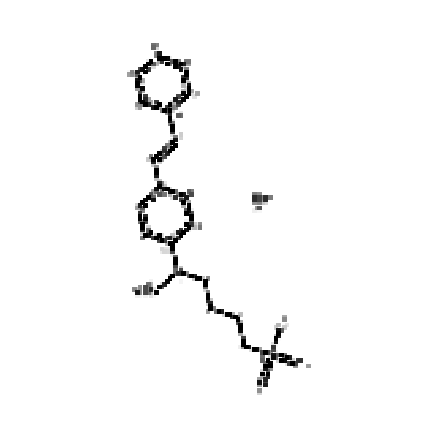 CCCCCCN(CCCCS(=O)(=O)[O-])c1ccc(C=Cc2ccncc2)cc1.[Na+]